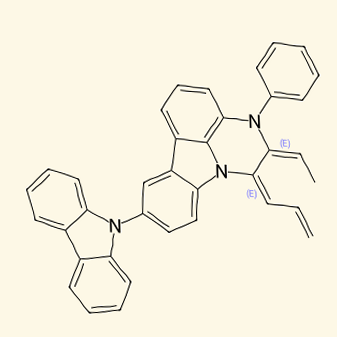 C=C/C=C1\C(=C/C)N(c2ccccc2)c2cccc3c4cc(-n5c6ccccc6c6ccccc65)ccc4n1c23